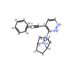 C#Cc1ccnnc1N1CC2CCC(C1)N2C.c1ccccc1